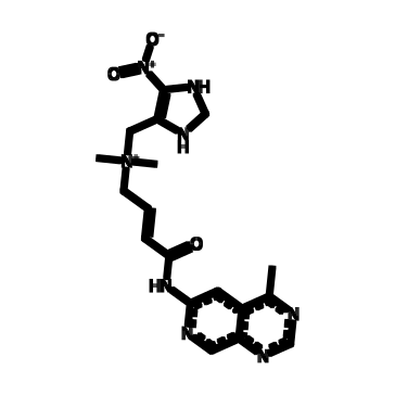 Cc1ncnc2cnc(NC(=O)/C=C/C[N+](C)(C)CC3=C([N+](=O)[O-])NCN3)cc12